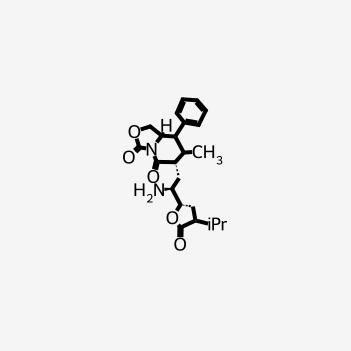 CC(C)C1C[C@@H]([C@@H](N)C[C@@H]2C(=O)N3C(=O)OC[C@@H]3C(c3ccccc3)C2C)OC1=O